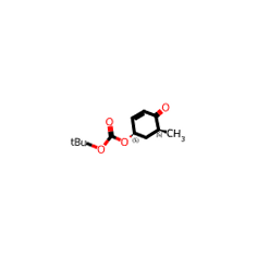 C[C@H]1C[C@H](OC(=O)OC(C)(C)C)C=CC1=O